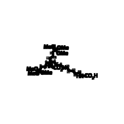 CO[Si](CCCC(CCCCCCCCCNC(=O)O)(CCC[Si](OC)(OC)OC)NC(=O)O)(OC)OC